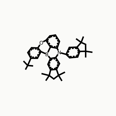 CC(C)(C)c1ccc2c(c1)B1c3cc4c(cc3N(c3ccc5c(c3)C(C)(C)CC5(C)C)c3cccc(c31)O2)C(C)(C)CC4(C)C